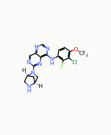 Fc1c(Nc2ncnc3cnc(N4C[C@@H]5C[C@H]4CN5)nc23)ccc(OC(F)(F)F)c1Cl